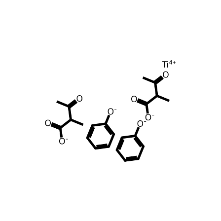 CC(=O)C(C)C(=O)[O-].CC(=O)C(C)C(=O)[O-].[O-]c1ccccc1.[O-]c1ccccc1.[Ti+4]